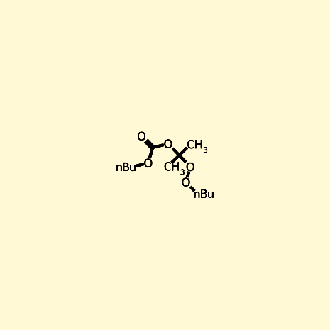 CCCCOOC(C)(C)OC(=O)OCCCC